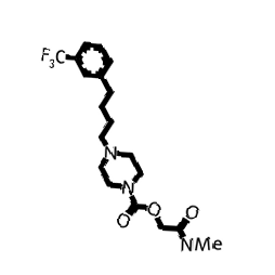 CNC(=O)COC(=O)N1CCN(CCCCc2cccc(C(F)(F)F)c2)CC1